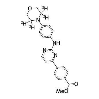 [2H]C1([2H])COCC([2H])([2H])N1c1ccc(Nc2nccc(-c3ccc(C(=O)OC)cc3)n2)cc1